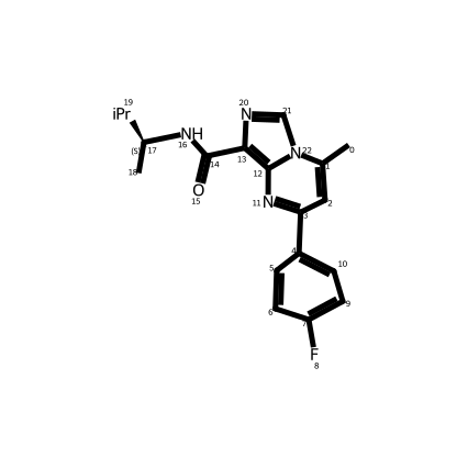 Cc1cc(-c2ccc(F)cc2)nc2c(C(=O)N[C@@H](C)C(C)C)ncn12